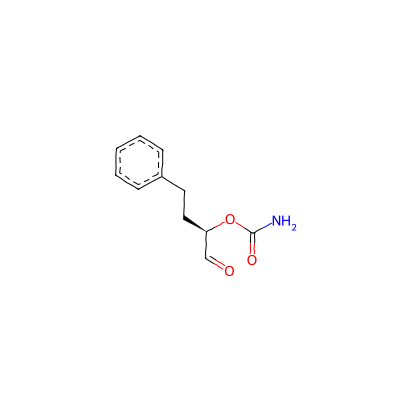 NC(=O)O[C@@H](C=O)CCc1ccccc1